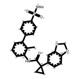 CNS(=O)(=O)c1ccc(-c2cccc(NC(=O)C3(c4ccc5c(c4)OCO5)CC3)c2C)cc1